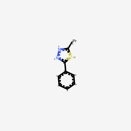 CC(C)c1nnc(-c2ccccc2)s1